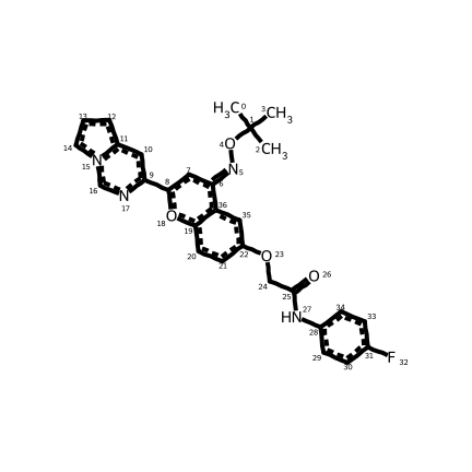 CC(C)(C)ON=c1cc(-c2cc3cccn3cn2)oc2ccc(OCC(=O)Nc3ccc(F)cc3)cc12